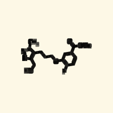 COC(=O)c1ccc(F)c(OCCCC2=C(CO)N=[N+]=C2C)c1